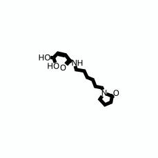 O=C(/C=C\C(O)O)NCCCCCCN1CCCC1=O